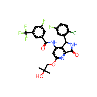 CC(C)(O)COc1cc(NC(=O)c2cc(F)cc(C(F)(F)F)c2)c2c(n1)C(=O)NC2c1cc(F)ccc1Cl